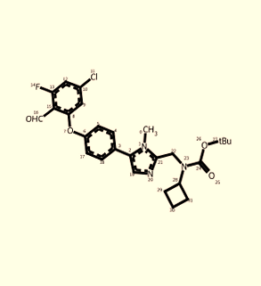 Cn1c(-c2ccc(Oc3cc(Cl)cc(F)c3C=O)cc2)cnc1CN(C(=O)OC(C)(C)C)C1CCC1